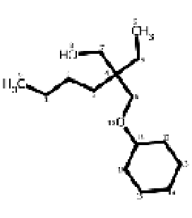 CCCCC(CC)(CO)COC1CCCCC1